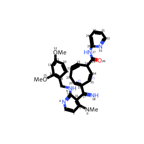 CNc1ccnc(NCc2ccc(OC)cc2OC)c1C(=N)C1=C/CC#CC(C(=O)Nc2ccccn2)/C=C\1